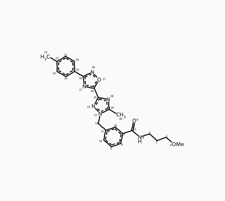 COCCCNC(=O)c1cccc(Cn2nc(-c3nc(-c4ccc(C)cc4)no3)nc2C)c1